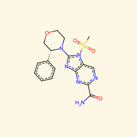 CS(=O)(=O)n1c(N2CCOC[C@H]2c2ccccc2)nc2nc(C(N)=O)ncc21